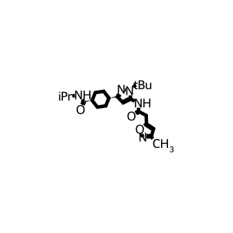 Cc1cc(CC(=O)Nc2cc([C@H]3CC[C@@H](C(=O)NC(C)C)CC3)nn2C(C)(C)C)on1